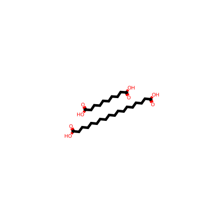 O=C(O)CCCCCCCCC(=O)O.O=C(O)CCCCCCCCCCCCCCCCC(=O)O